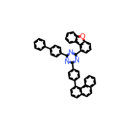 c1ccc(-c2ccc(-c3nc(-c4ccc(-c5cccc6ccc7ccccc7c56)cc4)nc(-c4cccc5oc6ccccc6c45)n3)cc2)cc1